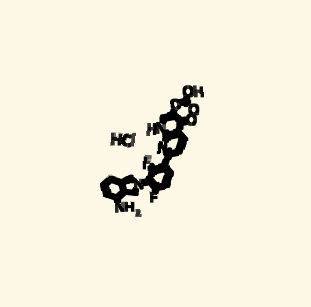 Cl.NC1C=CCC2CN(c3c(F)ccc(-c4ccc5c(=O)c(OC(=O)O)c[nH]c5n4)c3F)CC12